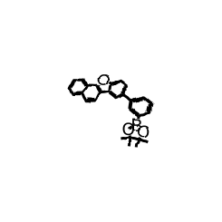 CC1(C)OB(c2cccc(-c3ccc4oc5c6ccccc6ccc5c4c3)c2)OC1(C)C